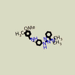 COc1ccc(CNC[C@H]2CC[C@@H](Nc3nc4c(c(N(C)C)n3)CCCC4)CC2)cc1C